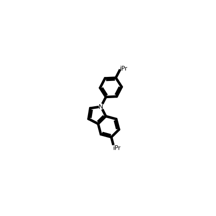 CC(C)c1ccc(-n2ccc3cc(C(C)C)ccc32)cc1